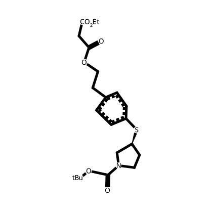 CCOC(=O)CC(=O)OCCc1ccc(S[C@H]2CCN(C(=O)OC(C)(C)C)C2)cc1